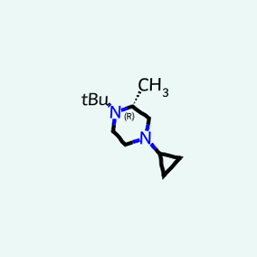 C[C@@H]1CN(C2CC2)CCN1C(C)(C)C